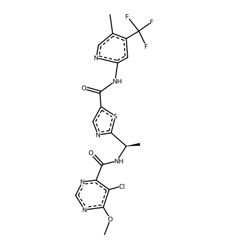 COc1ncnc(C(=O)N[C@H](C)c2ncc(C(=O)Nc3cc(C(F)(F)F)c(C)cn3)s2)c1Cl